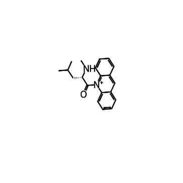 CN[C@@H](CC(C)C)C(=O)[n+]1c2ccccc2cc2ccccc21